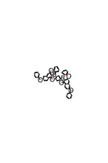 c1ccc(Oc2ccc3c4c5c(cc3c2)Oc2ccccc2B5c2cc3c(cc2O4)Oc2c4c(cc5cc(Oc6ccccc6)ccc25)Oc2ccccc2B34)cc1